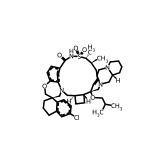 CC(C)CO[C@@]1(CN2CCN3CCCC[C@@H]3C2)/C=C/C[C@H](C)[C@@H](C)S(=O)(=O)NC(=O)c2ccc3c(c2)N(C[C@@H]2CC[C@H]21)C[C@@]1(CCCc2cc(Cl)ccc21)CO3